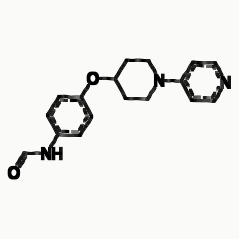 O=CNc1ccc(OC2CCN(c3ccncc3)CC2)cc1